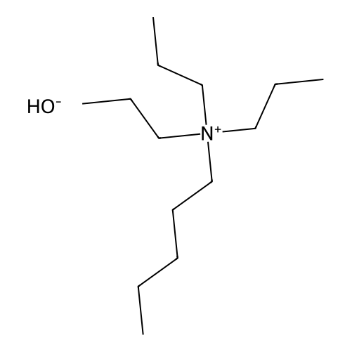 CCCCC[N+](CCC)(CCC)CCC.[OH-]